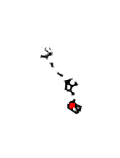 CC1(OC(=O)C2C3OC4C(OC(=O)C42)C3OC(=O)COCC(=O)OC(C(F)(F)F)C(F)(F)S(=O)(=O)O)C2CC3CC(C2)CC1C3